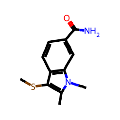 CSc1c(C)n(C)c2cc(C(N)=O)ccc12